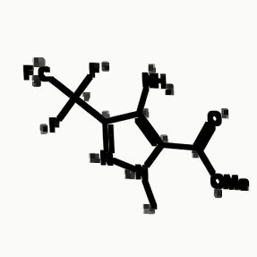 COC(=O)c1c(N)c(C(F)(F)C(F)(F)F)nn1C